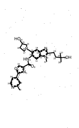 Cc1cc(-c2nc(C(=O)Nc3cc4c(cc3N3CCC(O)C3)nc(CCC(C)(C)O)n4C)co2)ccn1